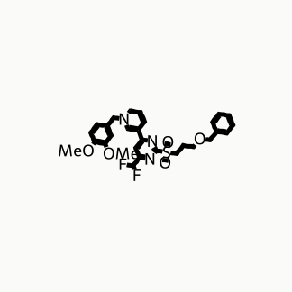 COc1ccc(CN2C=C(c3cc(C(F)F)nc(S(=O)(=O)CCCOCc4ccccc4)n3)C=CC2)cc1OC